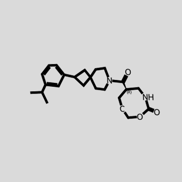 CC(C)c1cccc(C2CC3(CCN(C(=O)[C@@H]4CCCOC(=O)NC4)CC3)C2)c1